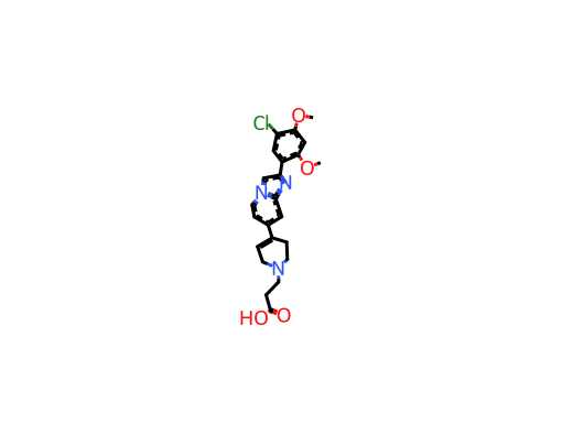 COc1cc(OC)c(-c2cn3ccc(C4=CCN(CCC(=O)O)CC4)cc3n2)cc1Cl